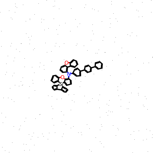 c1ccc(-c2ccc(-c3ccc(N(c4cccc5c4Oc4ccccc4[Si]54c5ccccc5-c5ccccc54)c4cccc5oc6ccccc6c45)cc3)cc2)cc1